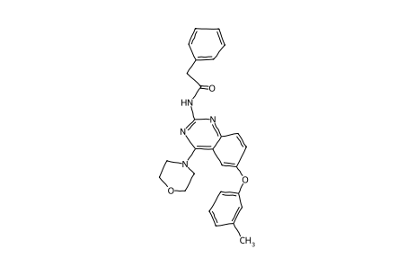 Cc1cccc(Oc2ccc3nc(NC(=O)Cc4ccccc4)nc(N4CCOCC4)c3c2)c1